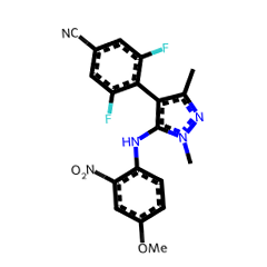 COc1ccc(Nc2c(-c3c(F)cc(C#N)cc3F)c(C)nn2C)c([N+](=O)[O-])c1